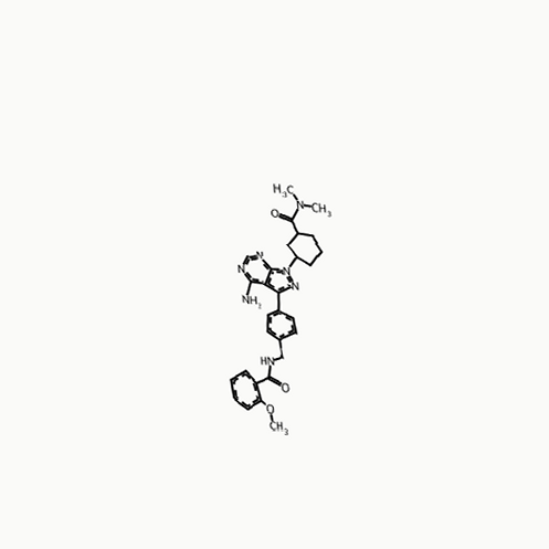 COc1ccccc1C(=O)NCc1ccc(-c2nn(C3CCCC(C(=O)N(C)C)C3)c3ncnc(N)c23)cc1